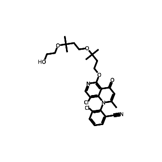 Cc1cc(=O)c2c(OCCC(C)(C)OCCC(C)(C)OCCO)ncc(Cl)c2n1-c1c(Cl)cccc1C#N